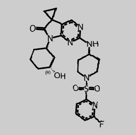 O=C1N(C2CCC[C@@H](O)C2)c2nc(NC3CCN(S(=O)(=O)c4cccc(F)n4)CC3)ncc2C12CC2